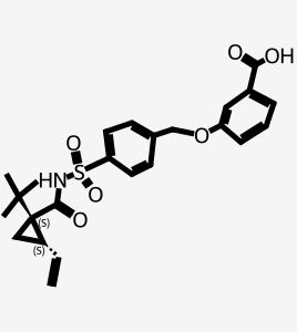 C=C[C@@H]1C[C@@]1(C(=O)NS(=O)(=O)c1ccc(COc2cccc(C(=O)O)c2)cc1)C(C)(C)C